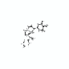 Cc1cc(-c2ccc3ncc([S+]([O-])N4CCCCC4)n3c2)cn(C)c1=O